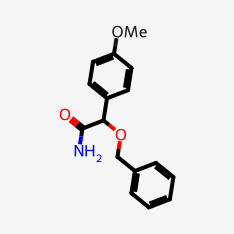 COc1ccc(C(OCc2ccccc2)C(N)=O)cc1